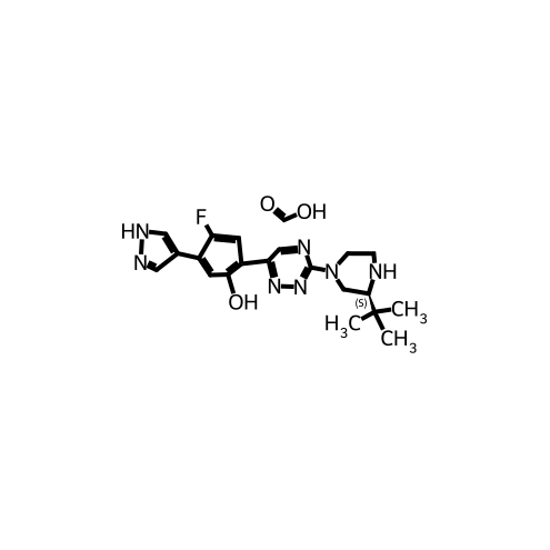 CC(C)(C)[C@H]1CN(c2ncc(-c3cc(F)c(-c4cn[nH]c4)cc3O)nn2)CCN1.O=CO